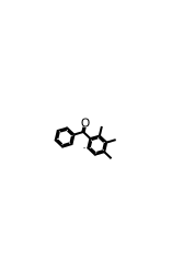 Cc1c[c]c(C(=O)c2ccccc2)c(C)c1C